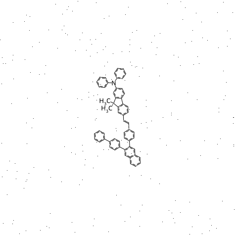 CC1(C)c2cc(/C=C/c3ccc(-c4cc5ccccc5cc4-c4ccc(-c5ccccc5)cc4)cc3)ccc2-c2ccc(N(c3ccccc3)c3ccccc3)cc21